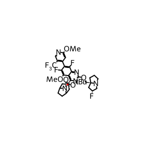 COc1cc(-c2c(F)c(OC)c3c(N4CC5CCC(C4)N5C(=O)OC(C)(C)C)nc(OC[C@@]45CCCN4C[C@H](F)C5)nc3c2F)c(C(F)(F)F)cn1